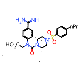 CCCc1ccc(S(=O)(=O)N2CCN(C(=O)N(CC(=O)O)c3ccc(C(=N)N)cc3)CC2)cc1